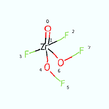 [O]=[Zr]([F])([F])([O]F)[O]F